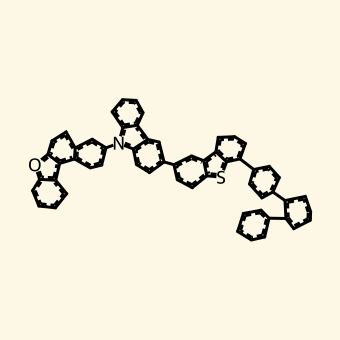 c1ccc(-c2ccccc2-c2ccc(-c3cccc4c3sc3ccc(-c5ccc6c(c5)c5ccccc5n6-c5ccc6c(ccc7oc8ccccc8c76)c5)cc34)cc2)cc1